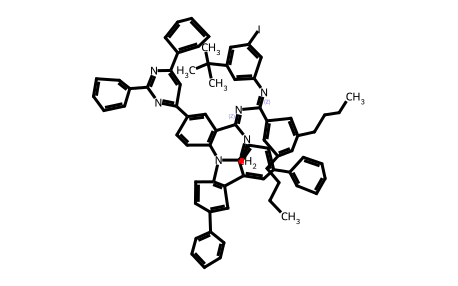 C=N/C(=N\C(=N/c1cc(I)cc(C(C)(C)C)c1)c1cc(CCCC)cc(CCCC)c1)c1cc(-c2cc(-c3ccccc3)nc(-c3ccccc3)n2)ccc1-n1c2ccc(-c3ccccc3)cc2c2cc(-c3ccccc3)ccc21